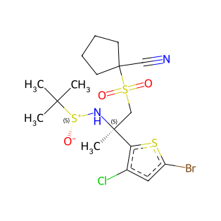 CC(C)(C)[S@@+]([O-])N[C@@](C)(CS(=O)(=O)C1(C#N)CCCC1)c1sc(Br)cc1Cl